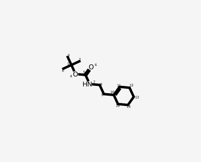 CC(C)(C)OC(=O)NCCC1=CCCCC1